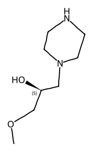 COC[C@@H](O)CN1CCNCC1